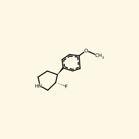 COc1ccc([C@@H]2CCNC[C@H]2F)cc1